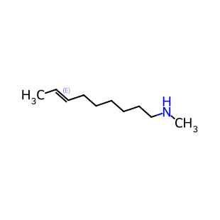 C/C=C/CCCCCCNC